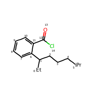 CCC(CCCC(C)C)c1ccccc1C(=O)Cl